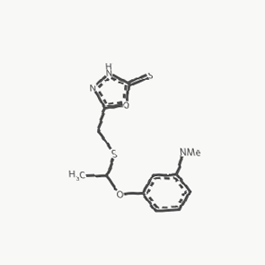 CNc1cccc(OC(C)SCc2n[nH]c(=S)o2)c1